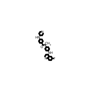 CN(C(=O)c1ccc(Nc2ccncc2)cc1)c1ccc(Nc2ccnc3ccc(F)cc23)cc1